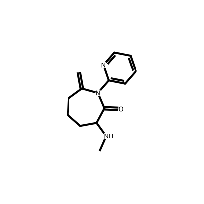 C=C1CCCC(NC)C(=O)N1c1ccccn1